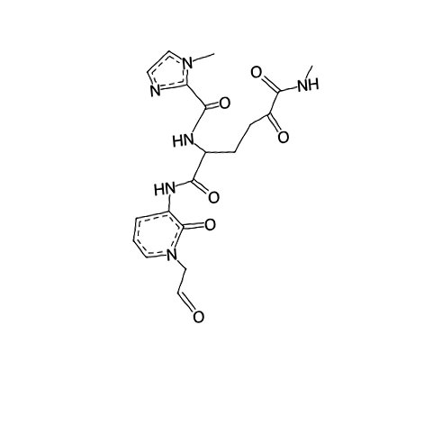 CNC(=O)C(=O)CCC(NC(=O)c1nccn1C)C(=O)Nc1cccn(CC=O)c1=O